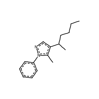 CCCCC(C)c1cnn(-c2ccccc2)c1C